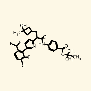 CC1(O)CC(CC(C(=O)Nc2ccc(C(=O)OC(C)(C)C)cc2)c2ccc(-c3c(C(F)F)ccc(Cl)c3F)cn2)C1